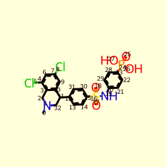 CN1Cc2c(Cl)cc(Cl)cc2C(c2ccc(S(=O)(=O)Nc3ccc(P(=O)(O)O)cc3)cc2)C1